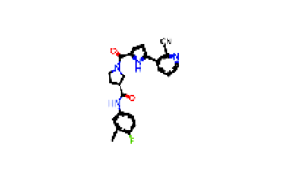 Cc1cc(NC(=O)[C@H]2CCN(C(=O)c3ccc(-c4cccnc4C#N)[nH]3)C2)ccc1F